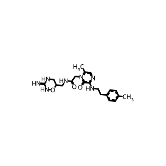 Cc1ccc(CCNc2ncc(C)n(CC(=O)NCC3CNC(=N)NO3)c2=O)cc1